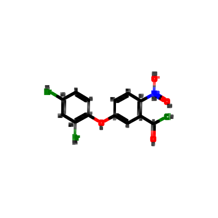 O=C(Cl)c1cc(Oc2ccc(Br)cc2Br)ccc1[N+](=O)[O-]